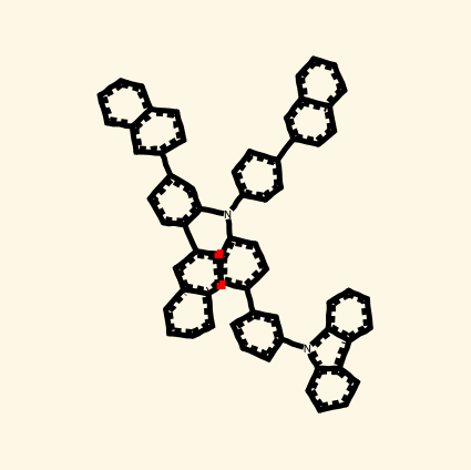 c1cc(-c2ccc(N(c3ccc(-c4ccc5ccccc5c4)cc3)c3cc(-c4ccc5ccccc5c4)ccc3-c3ccc4ccccc4c3)cc2)cc(-n2c3ccccc3c3ccccc32)c1